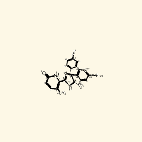 Cc1ccc(=O)[nH]c1C1=N[C@@](c2ccc(F)cc2)(c2ccc(F)nc2)[C@H](C)N1